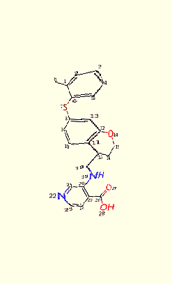 Cc1ccccc1Sc1ccc2c(c1)OCCC2CNc1cnccc1C(=O)O